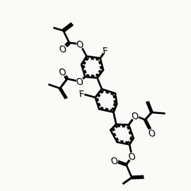 C=C(C)C(=O)Oc1ccc(-c2ccc(-c3cc(F)c(OC(=O)C(=C)C)cc3OC(=O)C(=C)C)c(F)c2)c(OC(=O)C(=C)C)c1